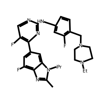 CCN1CCN(Cc2ccc(Nc3ncc(F)c(-c4cc(F)c5nc(C)n(C(C)C)c5c4)n3)cc2F)CC1